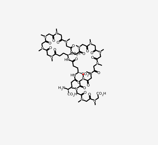 CN(CC(=O)O)C(=O)CN(C)C(=O)CN(C)C(=O)CN(C)C(=O)CN(C)C(=O)CN(C)C(=O)CN(C)C(=O)CN(C)C(=O)CN(C)C(=O)CN(C)C(=O)CN(C)C(=O)CN(C)C(=O)CN(C)C(=O)CN(C)C(=O)CN(C)C(=O)CC[C@H](NC(=O)CC[C@H](NC(=O)CC[C@H](N)C(=O)O)C(=O)O)C(=O)O